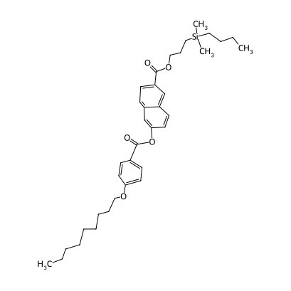 CCCCCCCCCOc1ccc(C(=O)Oc2ccc3cc(C(=O)OCCC[Si](C)(C)CCCC)ccc3c2)cc1